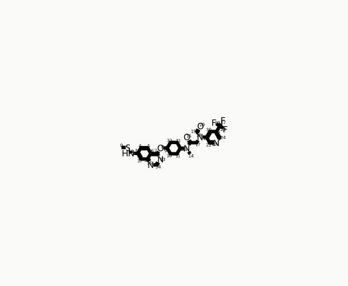 CSNc1ccc2c(OC3CCC(N(C)C(=O)CN(C=O)c4cncc(C(F)(F)F)c4)CC3)ncnc2c1